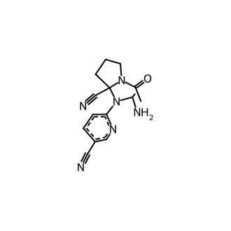 CC(=O)N1CCCC1(C#N)N(c1ccc(C#N)cn1)C(C)N